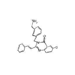 NCc1cccc(Cn2c(/C=C/c3ccccc3)nc3ccc(Cl)cc3c2=O)c1